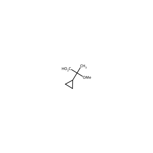 COC(C)(C(=O)O)C1CC1